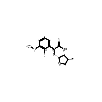 COc1cccc(N(C[C@@H]2C[C@@H](F)CN2)C(=O)O)c1F